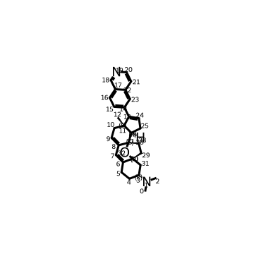 CN(C)[C@@H]1CCC2=CC3=CC[C@]4(C)C(c5ccc6cnccc6c5)=CC[C@H]4[C@@]34CC[C@]2(C1)O4